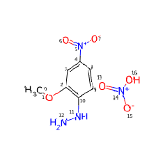 COc1cc([N+](=O)[O-])ccc1NN.O=[N+]([O-])O